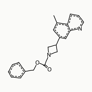 Cc1cc(C2CN(C(=O)OCc3ccccc3)C2)cc2ncccc12